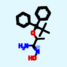 CC(O[Si](c1ccccc1)(c1ccccc1)C(C)(C)C)/C(N)=N/O